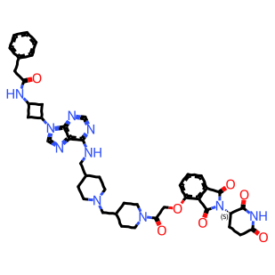 O=C1CC[C@H](N2C(=O)c3cccc(OCC(=O)N4CCC(CN5CCC(CNc6ncnc7c6ncn7C6CC(NC(=O)Cc7ccccc7)C6)CC5)CC4)c3C2=O)C(=O)N1